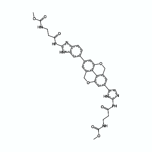 COC(=O)NCCC(=O)Pc1ncc(-c2cc3c4c(c2)OCc2cc(-c5ccc6nc(PC(=O)CCNC(=O)OC)[nH]c6c5)cc(c2-4)OC3)[nH]1